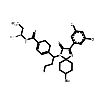 C[C@@H](CC(=O)O)NC(=O)C1=CC=C(C(CCC(F)(F)F)N2C(=O)C(c3cc(Cl)cc(Cl)c3)=NC23CCC(C(C)(C)C)CC3)CC1